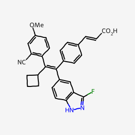 COc1ccc(/C(=C(\c2ccc(/C=C/C(=O)O)cc2)c2ccc3[nH]nc(F)c3c2)C2CCC2)c(C#N)c1